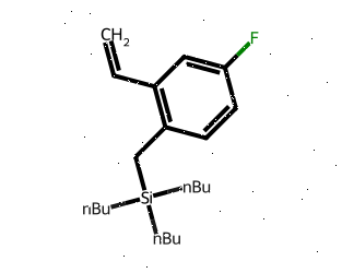 C=Cc1cc(F)ccc1C[Si](CCCC)(CCCC)CCCC